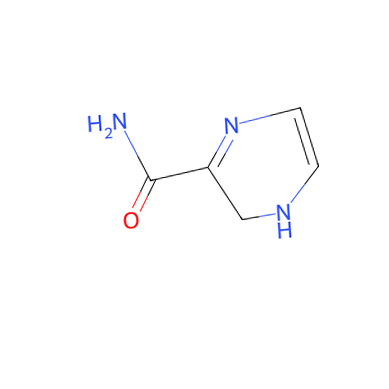 NC(=O)C1=NC=CNC1